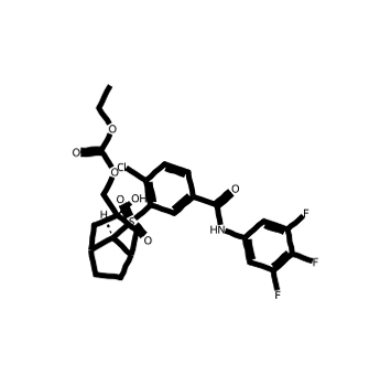 CCOC(=O)OC[C@]1(O)CC2CCC(C1)[C@H]2S(=O)(=O)c1cc(C(=O)Nc2cc(F)c(F)c(F)c2)ccc1Cl